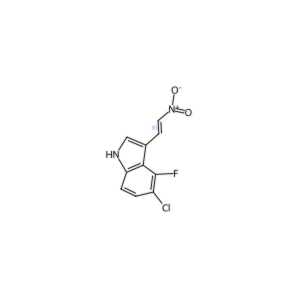 O=[N+]([O-])/C=C/c1c[nH]c2ccc(Cl)c(F)c12